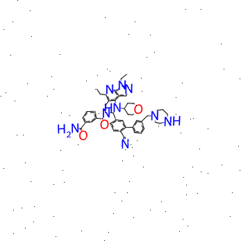 CCc1nc2c(cnn2CC)c(NC2CCOCC2)c1CN(Cc1ccc(C#N)c(-c2cccc(CN3CCCNCC3)c2)c1)C(=O)c1cccc(C(N)=O)c1